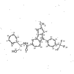 Cc1nc2c3cc(C(=O)N[C@H](CO)c4ccccn4)ccc3n(-c3ccc(C(F)(F)F)cc3)c2s1